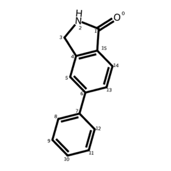 O=C1NCc2cc(-c3ccccc3)ccc21